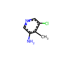 Cc1c(N)cncc1Cl